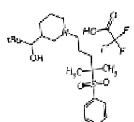 CC(C)(C)C(O)C1CCCN(CCCC(C)(C)S(=O)(=O)c2ccccc2)C1.O=C(O)C(F)(F)F